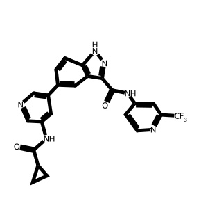 O=C(Nc1ccnc(C(F)(F)F)c1)c1n[nH]c2ccc(-c3cncc(NC(=O)C4CC4)c3)cc12